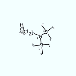 C[Si](C)(C)[N]([Zr])[Si](C)(C)C.Cl.Cl